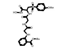 COc1ccc(S(=O)(=O)CC(NC(=O)CNC(=O)CNc2ccccc2C(=O)OC(C)(C)C)C(=O)NO)cc1